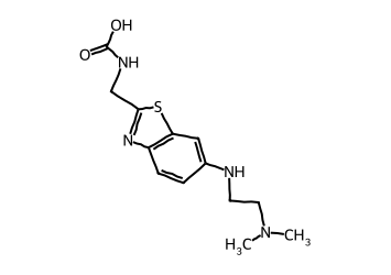 CN(C)CCNc1ccc2nc(CNC(=O)O)sc2c1